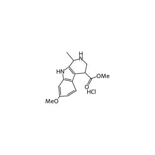 COC(=O)C1CNC(C)c2[nH]c3cc(OC)ccc3c21.Cl